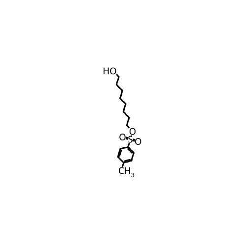 Cc1ccc(S(=O)(=O)OCCCCCCCCO)cc1